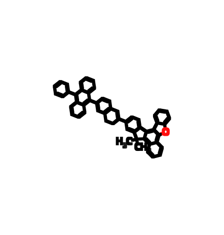 CC1(C)c2cc(C3=Cc4ccc(-c5c6ccccc6c(-c6ccccc6)c6ccccc56)cc4CC3)ccc2-c2c1c1ccccc1c1oc3ccccc3c21